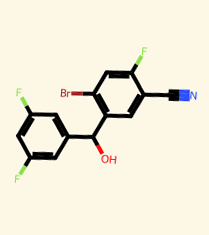 N#Cc1cc(C(O)c2cc(F)cc(F)c2)c(Br)cc1F